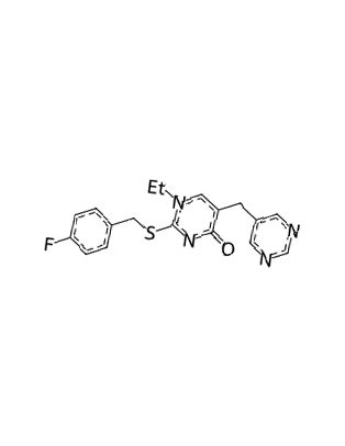 CCn1cc(Cc2cncnc2)c(=O)nc1SCc1ccc(F)cc1